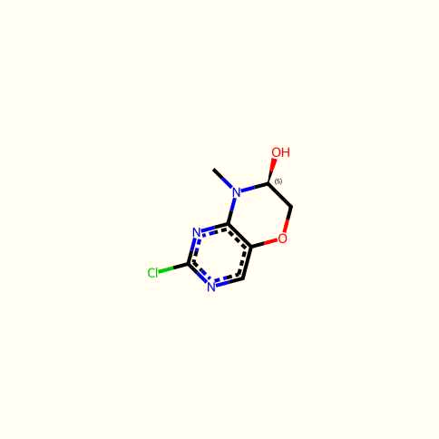 CN1c2nc(Cl)ncc2OC[C@@H]1O